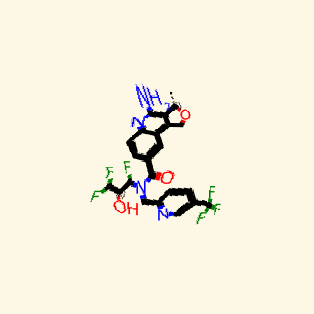 C[C@@H]1OCc2c1c(N)nc1ccc(C(=O)N(Cc3ccc(C(F)(F)F)cn3)C(F)[C@@H](O)C(F)F)cc21